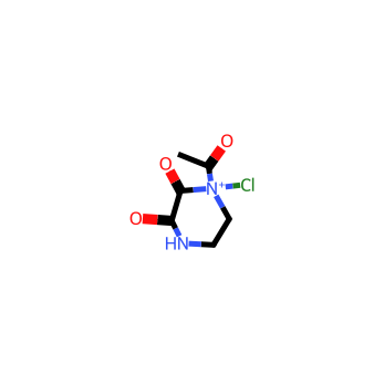 CC(=O)[N+]1(Cl)CCNC(=O)C1=O